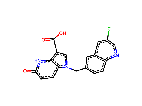 O=C(O)c1cn(Cc2ccc3ncc(Cl)cc3c2)c2ccc(=O)[nH]c12